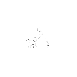 [N-]=[N+]=NCCCCC1=NC2(CCCC2)C(=O)N1Cc1ccc(-c2ccccc2-c2nnn[nH]2)cc1